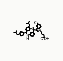 CC(C)Cc1ccc(C(Nc2cccc(C(=O)c3cn(CCCC(=O)O)c4ccc(Cl)cc34)c2)c2ccc(CC(C)C)cc2)cc1